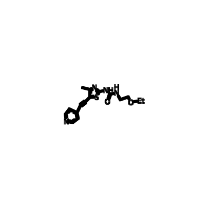 CCOCCNC(=O)Nc1nc(C)c(C#Cc2ccncc2)s1